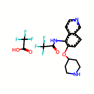 O=C(Nc1c(OC2CCNCC2)ccc2cnccc12)C(F)(F)F.O=C(O)C(F)(F)F